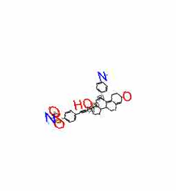 CN(C)c1ccc([C@H]2C[C@@]3(C)C(CC[C@@]3(O)C#Cc3ccc(S(=O)(=O)N(C)C)cc3)C3CCC4=CC(=O)CCC4=C32)cc1